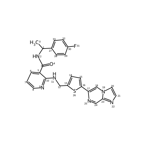 CC(NC(=O)c1cccnc1NCc1ccc(-c2cn3ccnc3cn2)s1)c1ccc(F)cc1